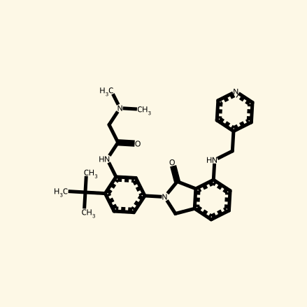 CN(C)CC(=O)Nc1cc(N2Cc3cccc(NCc4ccncc4)c3C2=O)ccc1C(C)(C)C